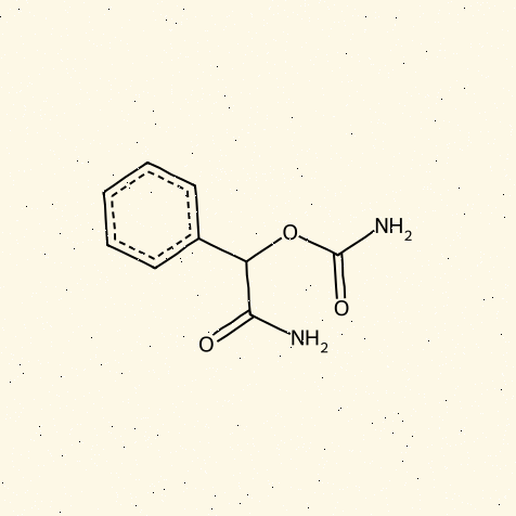 NC(=O)OC(C(N)=O)c1ccccc1